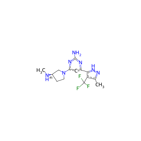 CN[C@@H]1CCN(c2cc(-c3[nH]nc(C)c3C(F)(F)F)nc(N)n2)C1